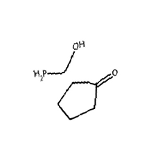 O=C1CCCC1.OCP